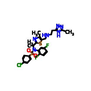 Cc1nnc(CCNCc2sc(C(C)N(c3cc(F)ccc3F)S(=O)(=O)c3ccc(Cl)cc3)nc2C)[nH]1